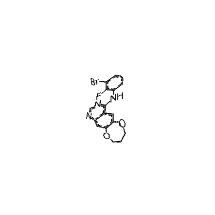 Fc1c(Br)cccc1Nc1ncnc2cc3c(cc12)OCCCO3